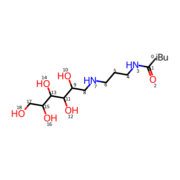 CCC(C)C(=O)NCCCNCC(O)C(O)C(O)C(O)CO